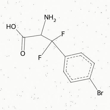 NC(C(=O)O)C(F)(F)c1ccc(Br)cc1